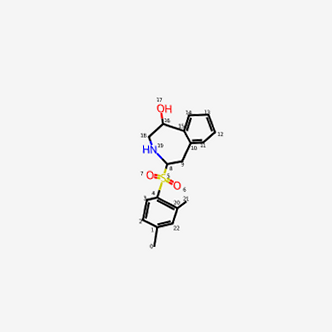 Cc1ccc(S(=O)(=O)C2Cc3ccccc3C(O)CN2)c(C)c1